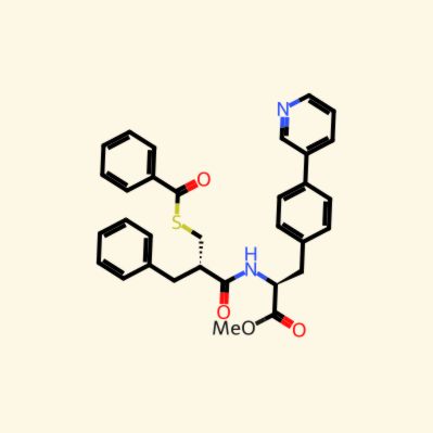 COC(=O)[C@H](Cc1ccc(-c2cccnc2)cc1)NC(=O)[C@@H](CSC(=O)c1ccccc1)Cc1ccccc1